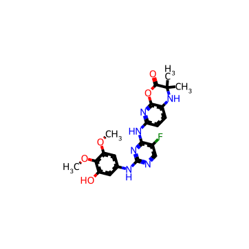 COc1cc(Nc2ncc(F)c(Nc3ccc4c(n3)OC(=O)C(C)(C)N4)n2)cc(O)c1OC